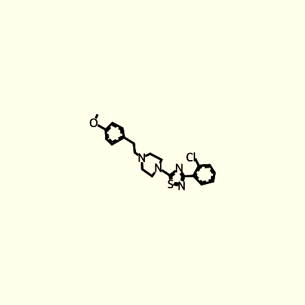 COc1ccc(CCN2CCN(c3nc(-c4ccccc4Cl)ns3)CC2)cc1